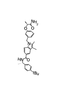 Cc1c(C)n(Cc2cccc(O[C@@H](C)C(N)=O)c2)c2ccc(C(=O)N[C@@H](C)c3ccc(C(C)(C)C)cc3)cc12